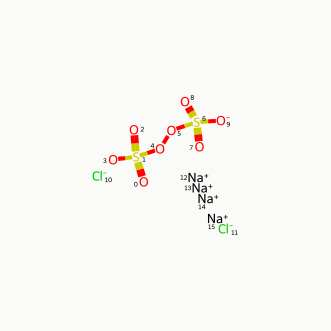 O=S(=O)([O-])OOS(=O)(=O)[O-].[Cl-].[Cl-].[Na+].[Na+].[Na+].[Na+]